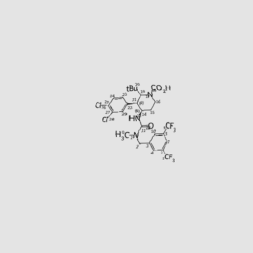 CN(Cc1cc(C(F)(F)F)cc(C(F)(F)F)c1)C(=O)N[C@@H]1CCN(C(=O)O)C(C(C)(C)C)[C@@H]1c1ccc(Cl)c(Cl)c1